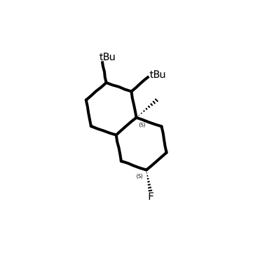 CC(C)(C)C1CCC2C[C@@H](F)CC[C@]2(C)C1C(C)(C)C